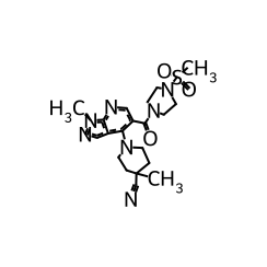 Cn1ncc2c(N3CCC(C)(C#N)CC3)c(C(=O)N3CCN(S(C)(=O)=O)CC3)cnc21